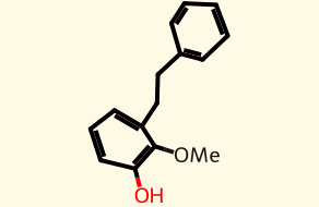 COc1c(O)cccc1CCc1ccccc1